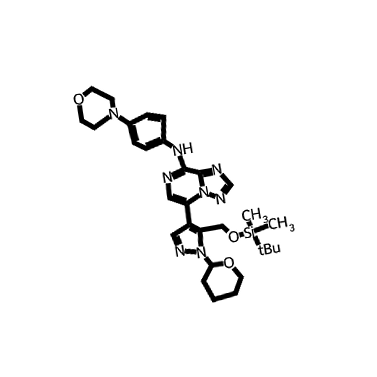 CC(C)(C)[Si](C)(C)OCc1c(-c2cnc(Nc3ccc(N4CCOCC4)cc3)c3ncnn23)cnn1C1CCCCO1